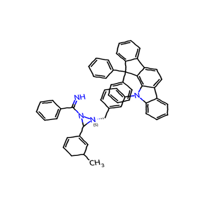 CC1C=C(C2N(C(=N)c3ccccc3)[N@]2Cc2cccc(-n3c4ccccc4c4ccc5c(c43)C(c3ccccc3)(c3ccccc3)c3ccccc3-5)c2)C=CC1